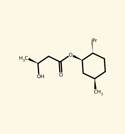 CC(C)[C@@H]1CC[C@@H](C)C[C@H]1OC(=O)C[C@H](C)O